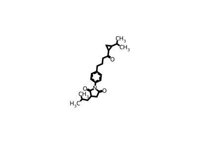 CC(C)CC1CC(=O)N(c2ccc(CCCC(=O)C3CC3C(C)C)cc2)C1=O